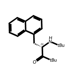 CC(C)(C)N[C@@H](Cc1cccc2ccccc12)C(=O)C(C)(C)C